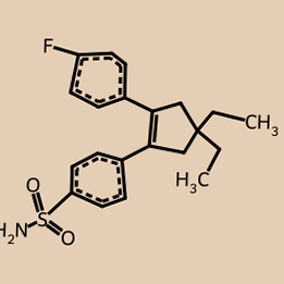 CCC1(CC)CC(c2ccc(F)cc2)=C(c2ccc(S(N)(=O)=O)cc2)C1